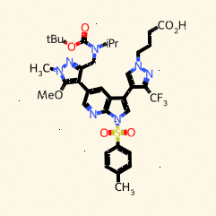 COc1c(-c2cnc3c(c2)c(-c2cn(CCCC(=O)O)nc2C(F)(F)F)cn3S(=O)(=O)c2ccc(C)cc2)c(CN(C(=O)OC(C)(C)C)C(C)C)nn1C